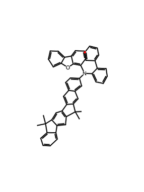 CC1(C)c2ccccc2-c2cc3c(cc21)-c1cc2ccc(N(c4ccccc4-c4ccccc4)c4cccc5c4oc4ccccc45)cc2cc1C3(C)C